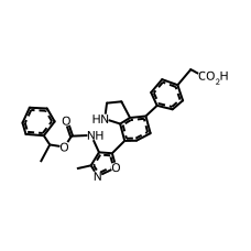 Cc1noc(-c2ccc(-c3ccc(CC(=O)O)cc3)c3c2NCC3)c1NC(=O)OC(C)c1ccccc1